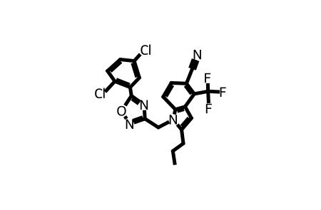 CCCc1cc2c(C(F)(F)F)c(C#N)ccc2n1Cc1noc(-c2cc(Cl)ccc2Cl)n1